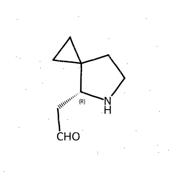 O=CC[C@H]1NCCC12CC2